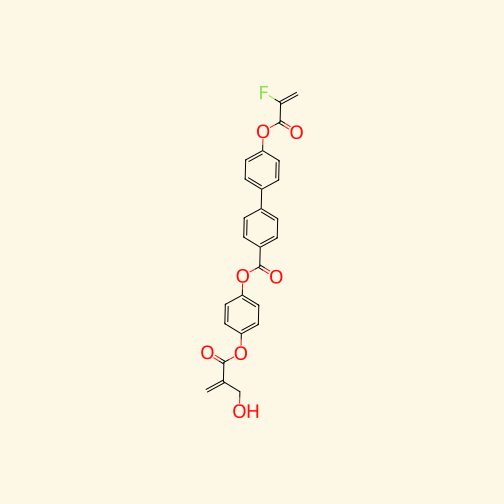 C=C(F)C(=O)Oc1ccc(-c2ccc(C(=O)Oc3ccc(OC(=O)C(=C)CO)cc3)cc2)cc1